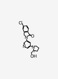 O=C1c2ccc(Cl)cc2CN1c1cncc(N2CCC[C@H]2CO)c1